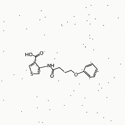 O=C(CCCOc1ccccc1)Nc1cscc1C(=O)O